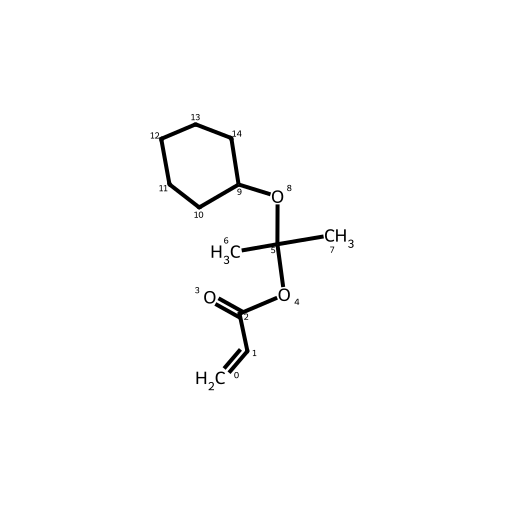 C=CC(=O)OC(C)(C)OC1CCCCC1